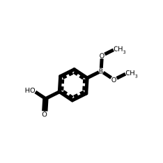 COB(OC)c1ccc(C(=O)O)cc1